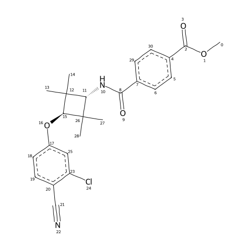 COC(=O)c1ccc(C(=O)N[C@H]2C(C)(C)[C@H](Oc3ccc(C#N)c(Cl)c3)C2(C)C)cc1